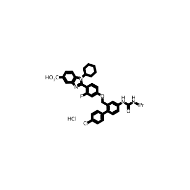 CC(C)NC(=O)Nc1ccc(-c2ccc(Cl)cc2)c(COc2ccc(-c3nc4cc(C(=O)O)ccc4n3C3CCCCC3)c(F)c2)c1.Cl